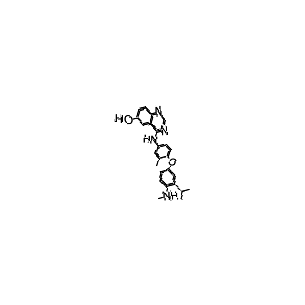 CNc1ccc(Oc2ccc(Nc3ncnc4ccc(O)cc34)cc2C)cc1C(C)C